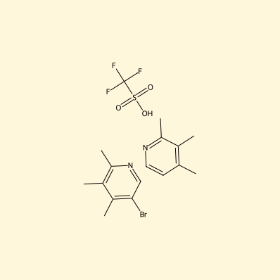 Cc1ccnc(C)c1C.Cc1ncc(Br)c(C)c1C.O=S(=O)(O)C(F)(F)F